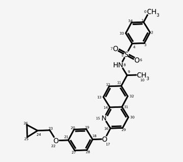 Cc1ccc(S(=O)(=O)NC(C)c2ccc3nc(Oc4ccc(OCC5CC5)cc4)ccc3c2)cc1